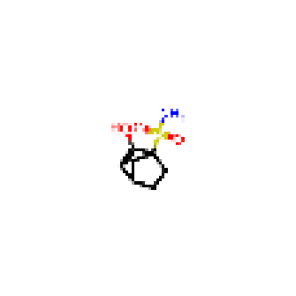 NS(=O)(=O)C12CCC(C=C1O)C2